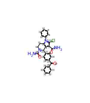 NC(=O)c1c2c(n(-c3ccccc3)c1Cl)CCN(C(N)=O)C2c1ccc(C(=O)c2ccccc2)cc1